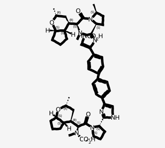 C[C@@H]1C[C@@H]([C@@H](C(=O)N2[C@@H](C)CC[C@H]2c2nc(-c3ccc(-c4ccc(-c5c[nH]c([C@@H]6CC[C@H](C)N6C(=O)[C@H]([C@@H]6C[C@@H](C)O[C@H]7CCC[C@@H]67)N(C)C(=O)O)n5)cc4)cc3)c[nH]2)N(C)C(=O)O)[C@@H]2CCC[C@@H]2O1